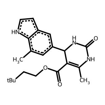 CC1=C(C(=O)OCCC(C)(C)C)C(c2cc(C)c3[nH]ccc3c2)NC(=O)N1